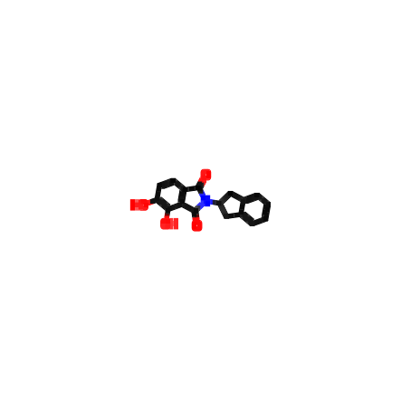 O=C1c2ccc(O)c(O)c2C(=O)N1C1Cc2ccccc2C1